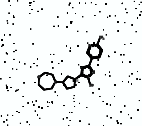 CC(C)n1nc(-c2ccc(C(F)(F)F)nc2)nc1[C@H]1CCC(N2CCCOCC2)C1